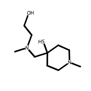 CN1CCC(S)(CN(C)CCO)CC1